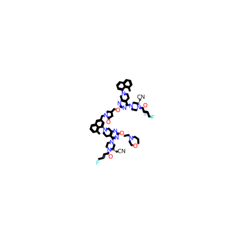 Cc1cccc2cc(CN3CC(COc4nc5c(c(N6CCN(C(=O)/C=C/CF)[C@@H](CC#N)C6)n4)CCN(c4cccc6cccc(C)c46)C5)CC3=O)cc(N3CCc4c(nc(OCCN5CCCOCC5)nc4N4CCN(C(=O)/C=C/CF)[C@@H](CC#N)C4)C3)c12